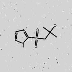 CC(C)([O])CS(=O)(=O)c1ncc[nH]1